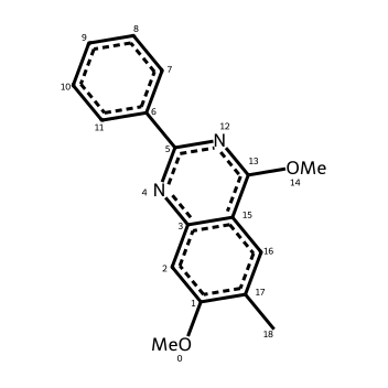 COc1cc2nc(-c3ccccc3)nc(OC)c2cc1C